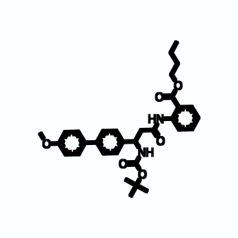 CCCCOC(=O)c1ccccc1NC(=O)CC(NC(=O)OC(C)(C)C)c1ccc(-c2ccc(OC)cc2)cc1